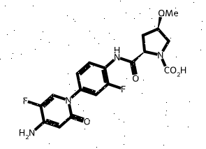 CO[C@@H]1C[C@H](C(=O)Nc2ccc(-n3cc(F)c(N)cc3=O)cc2F)N(C(=O)O)C1